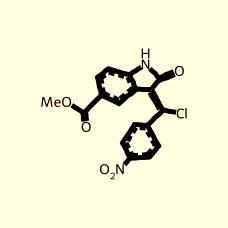 COC(=O)c1ccc2c(c1)/C(=C(/Cl)c1ccc([N+](=O)[O-])cc1)C(=O)N2